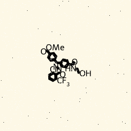 COC(=O)c1ccc(-c2nn(C(=O)c3c(Cl)cccc3C(F)(F)F)c3cc(C(=O)NCCO)ccc23)cc1